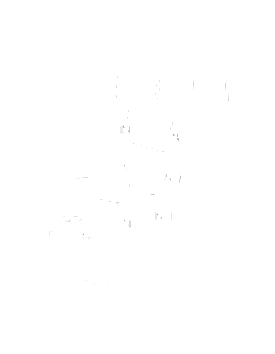 N=C(NC1N=C(c2ccccc2)c2ccccc2NC1=O)OC(=N)c1cccc(F)c1N1CCOCC1